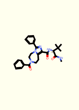 CNC(=O)[C@@H](NC(=O)c1nc(-c2ccccc2)n2c1CCN(C(=O)c1ccccc1)CC2)C(C)(C)C